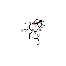 C=C[C@]1(C)[C@@H](OC(=O)CO)[C@]2(C)C(C)CC[C@]3(CCC(=O)[C@H]32)[C@@H](C)[C@@H]1O